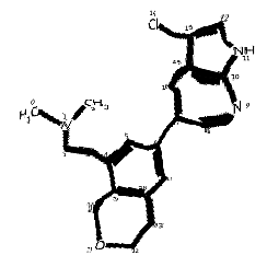 CN(C)Cc1cc(-c2cnc3[nH]cc(Cl)c3c2)cc2c1COCC2